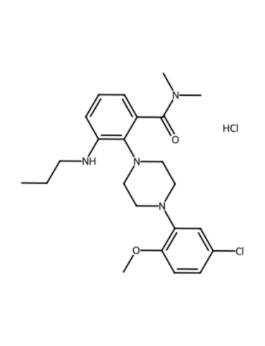 CCCNc1cccc(C(=O)N(C)C)c1N1CCN(c2cc(Cl)ccc2OC)CC1.Cl